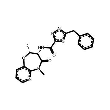 C[C@H]1Oc2cccnc2N(C)C(=O)[C@H]1NC(=O)c1nnc(Cc2ccccc2)s1